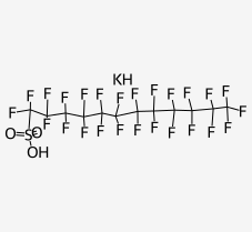 O=S(=O)(O)C(F)(F)C(F)(F)C(F)(F)C(F)(F)C(F)(F)C(F)(F)C(F)(F)C(F)(F)C(F)(F)C(F)(F)C(F)(F)C(F)(F)F.[KH]